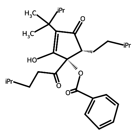 CC(C)CCC(=O)[C@@]1(OC(=O)c2ccccc2)C(O)=C(C(C)(C)C(C)C)C(=O)[C@@H]1CCC(C)C